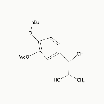 CCCCOc1ccc(C(O)C(C)O)cc1OC